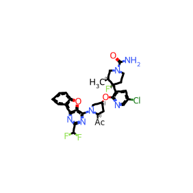 CC(=O)[C@@H]1C[C@H](Oc2ncc(Cl)cc2[C@@]2(F)CCN(C(N)=O)C[C@@H]2C)CN1c1nc(C(F)F)nc2c1oc1ccccc12